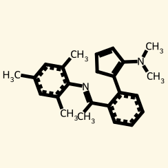 C/C(=N\c1c(C)cc(C)cc1C)c1ccccc1C1=C(N(C)C)C=CC1